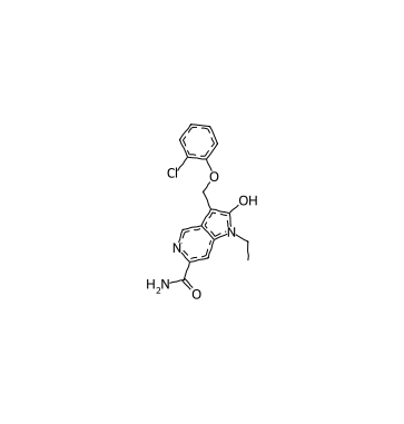 CCn1c(O)c(COc2ccccc2Cl)c2cnc(C(N)=O)cc21